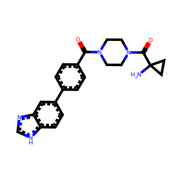 NC1(C(=O)N2CCN(C(=O)c3ccc(-c4ccc5[nH]cnc5c4)cc3)CC2)CC1